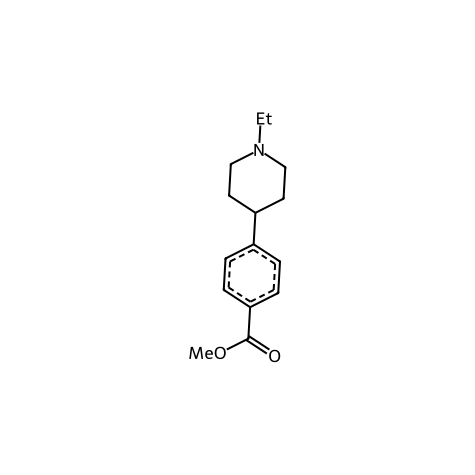 CCN1CCC(c2ccc(C(=O)OC)cc2)CC1